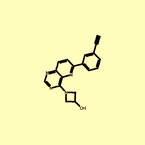 C#Cc1cccc(-c2ccc3ncnc(N4CC(O)C4)c3n2)c1